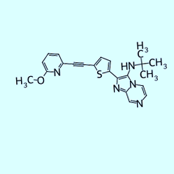 COc1cccc(C#Cc2ccc(-c3nc4cnccn4c3NC(C)(C)C)s2)n1